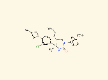 COCCC1=CN(C2CC3(C(=O)O)CC2C3)C(=O)N[C@@]1(C)c1ccc([C@H]2C[C@@H](C(C)(C)C)C2)c(Cl)c1